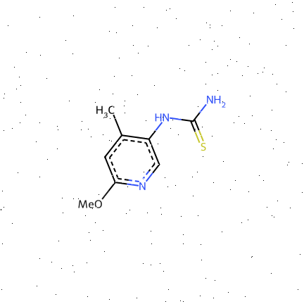 COc1cc(C)c(NC(N)=S)cn1